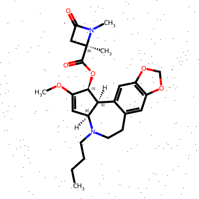 CCCCN1CCc2cc3c(cc2[C@@H]2[C@H](OC(=O)[C@@]4(C)CC(=O)N4C)C(OC)=C[C@@H]21)OCO3